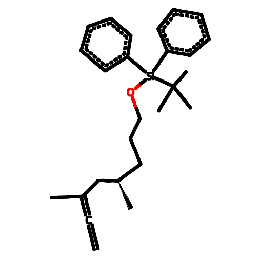 C=C=C(C)C[C@@H](C)CCCO[Si](c1ccccc1)(c1ccccc1)C(C)(C)C